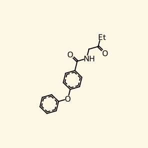 CCC(=O)CNC(=O)c1ccc(Oc2ccccc2)cc1